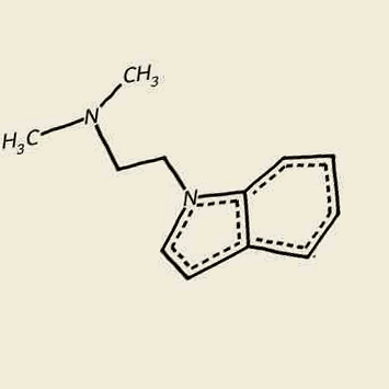 CN(C)CCn1ccc2[c]cccc21